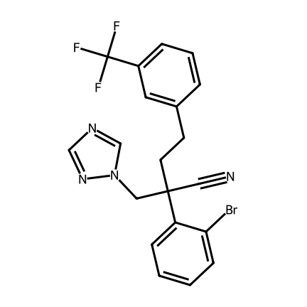 N#CC(CCc1cccc(C(F)(F)F)c1)(Cn1cncn1)c1ccccc1Br